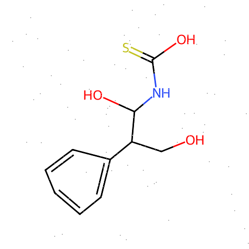 OCC(c1ccccc1)C(O)NC(O)=S